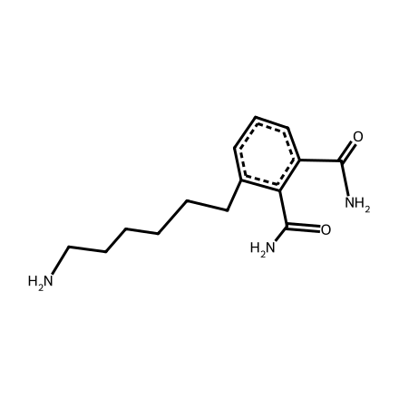 NCCCCCCc1cccc(C(N)=O)c1C(N)=O